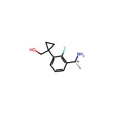 C[C@@H](N)c1cccc(C2(CO)CC2)c1F